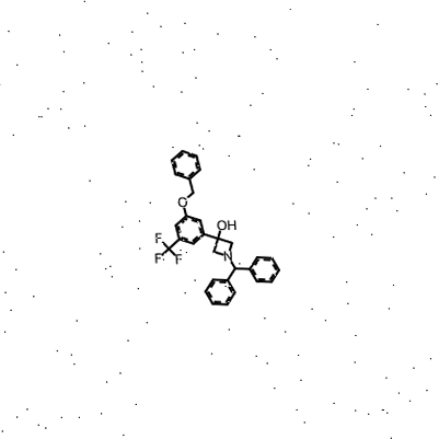 OC1(c2cc(OCc3ccccc3)cc(C(F)(F)F)c2)CN(C(c2ccccc2)c2ccccc2)C1